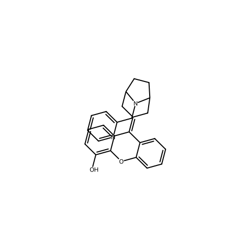 Oc1cccc2c1Oc1ccccc1C2=C1CC2CCC(C1)N2Cc1ccccn1